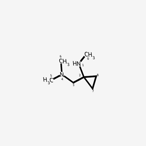 CNC1(CN(C)C)CC1